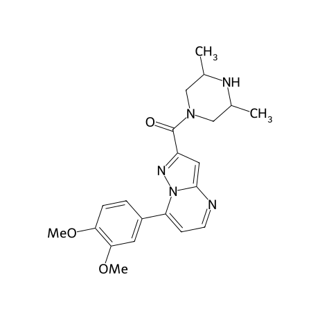 COc1ccc(-c2ccnc3cc(C(=O)N4CC(C)NC(C)C4)nn23)cc1OC